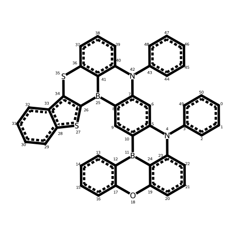 c1ccc(N2c3cc4c(cc3B3c5ccccc5Oc5cccc2c53)B2c3sc5ccccc5c3Sc3cccc(c32)N4c2ccccc2)cc1